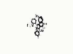 N[C@@H]1CCCC[C@H]1Nc1c(-c2nc3ccc(F)cc3[nH]2)c(=O)[nH]c2ccc(Br)cc12